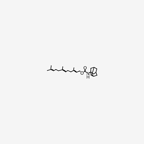 CC(C)=CCC/C(C)=C/CC/C(C)=C/COC(=O)NC12CC3CC(CC(C3)C1)C2